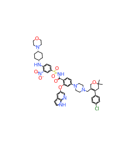 CC1(C)CC(c2ccc(Cl)cc2)=C(CN2CCN(c3ccc(C(=O)NS(=O)(=O)c4ccc(N[C@H]5CC[C@@H](N6CCOCC6)CC5)c([N+](=O)[O-])c4)c(Oc4cnc5[nH]ccc5c4)c3)CC2)CO1